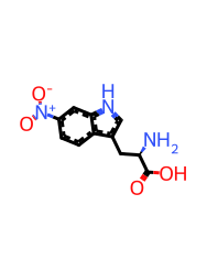 N[C@H](Cc1c[nH]c2cc([N+](=O)[O-])ccc12)C(=O)O